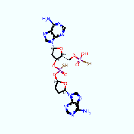 Nc1ncnc2c1ncn2[C@H]1CC[C@@H](OP(=O)(S)O[C@H]2C[C@H](n3cnc4c(N)ncnc43)O[C@@H]2COP(=O)(O)S)O1